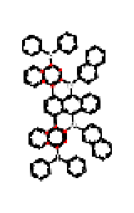 c1ccc(N(c2ccccc2)c2ccc(-c3ccc(-c4ccc(N(c5ccccc5)c5ccccc5)cc4)c4c(N(c5ccc6ccccc6c5)c5ccc6ccccc6c5)c5ccccc5c(N(c5ccc6ccccc6c5)c5ccc6ccccc6c5)c34)cc2)cc1